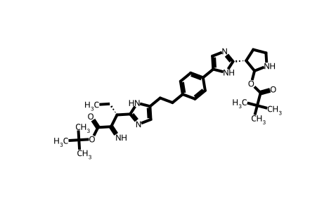 CC[C@@H](C(=N)C(=O)OC(C)(C)C)c1ncc(CCc2ccc(-c3cnc([C@@H]4CCNC4OC(=O)C(C)(C)C)[nH]3)cc2)[nH]1